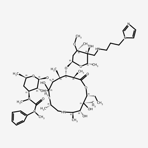 CC[C@H]1OC(=O)[C@H](C)[C@@H](O[C@H]2C[C@@](C)(OC)[C@](O)(CNCCCn3ccnc3)[C@H](C)O2)[C@H](C)[C@@H](O[C@@H]2O[C@H](C)C[C@H](N(C)C(=O)N(C)c3ccccc3)[C@H]2O)[C@](C)(O)C[C@@H](C)CN[C@H](C)[C@@H](O)[C@]1(C)O